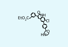 CCOC(=O)Cc1cccc(-c2cc3cc(-c4ccc(C5CNCCO5)cc4)c(Cl)cc3[nH]c2=O)c1